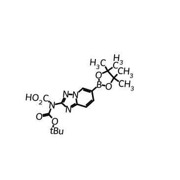 CC(C)(C)OC(=O)N(C(=O)O)c1nc2ccc(B3OC(C)(C)C(C)(C)O3)cn2n1